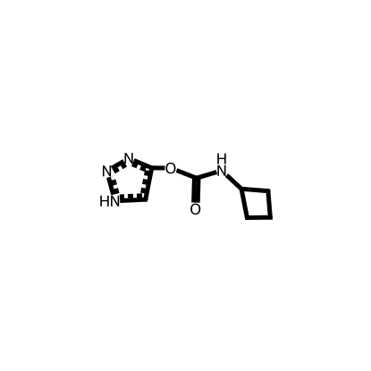 O=C(NC1CCC1)Oc1c[nH]nn1